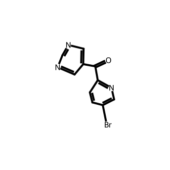 O=C(c1cncnc1)c1ccc(Br)cn1